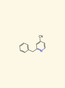 N#Cc1ccnc(Cc2ccccc2)c1